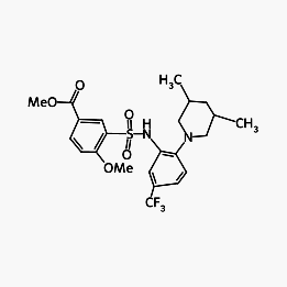 COC(=O)c1ccc(OC)c(S(=O)(=O)Nc2cc(C(F)(F)F)ccc2N2CC(C)CC(C)C2)c1